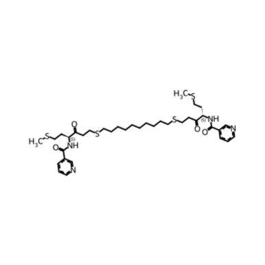 CSCC[C@H](NC(=O)c1cccnc1)C(=O)CCSCCCCCCCCCCSCCC(=O)[C@H](CCSC)NC(=O)c1cccnc1